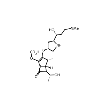 CNCC[C@@H](O)[C@@H]1C[C@H](SC2=C(OC(=O)O)N3C(=O)[C@H]([C@@H](C)O)[C@H]3[C@H]2C)CN1